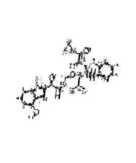 COc1cccc2[nH]c(C(=O)N[C@H](C=O)CC(C)CN[C@@H](Cc3cccnc3O)C(=O)C(=O)N3CC3)cc12